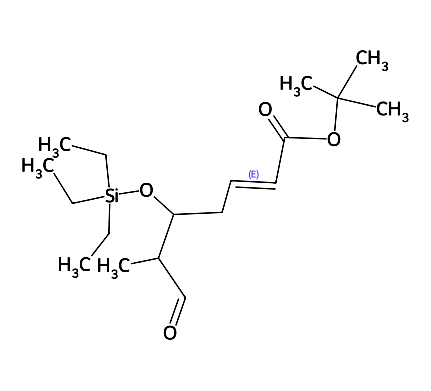 CC[Si](CC)(CC)OC(C/C=C/C(=O)OC(C)(C)C)C(C)C=O